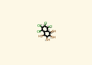 Sc1c(S)c(S)c2c(Cl)c(Cl)c(Cl)c(Cl)c2c1S